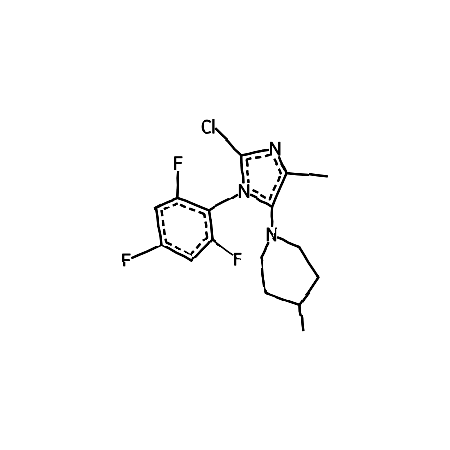 Cc1nc(Cl)n(-c2c(F)cc(F)cc2F)c1N1CCC(C)CC1